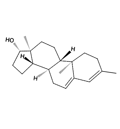 CC1=CC2=CC[C@H]3[C@@H]4CC[C@H](O)[C@@]4(C)CC[C@@H]3[C@@]2(C)CC1